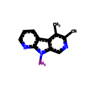 Cc1c(C#N)ncc2c1c1cccnc1n2P